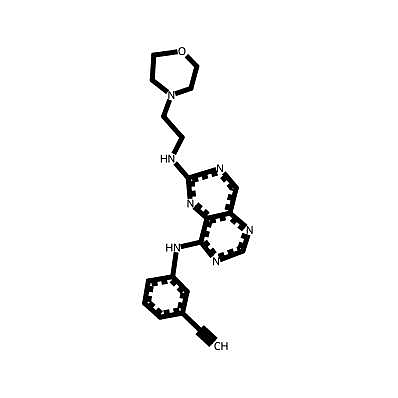 C#Cc1cccc(Nc2ncnc3cnc(NCCN4CCOCC4)nc23)c1